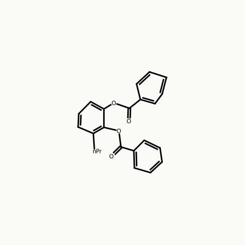 CCCc1cccc(OC(=O)c2ccccc2)c1OC(=O)c1ccccc1